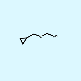 CCCCOC[C]1CC1